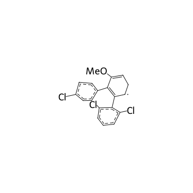 COC1=CC[CH]C(c2c(Cl)cccc2Cl)=C1c1ccc(Cl)cc1